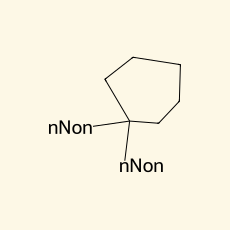 CCCCCCCCCC1(CCCCCCCCC)CCCCC1